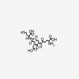 NC(CCC(=O)NC(CS)C(=O)N(CC(=O)O)CC(=O)[Se]N[C@@H](CCS)C(=O)O)C(=O)O